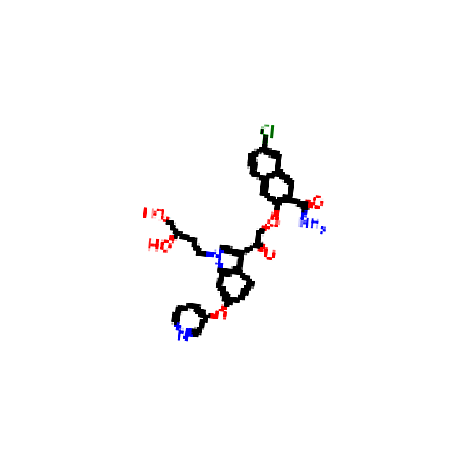 NC(=O)c1cc2cc(Cl)ccc2cc1OCC(=O)c1cn(CCC(O)CO)c2cc(Oc3cccnc3)ccc12